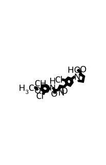 CC(C)Oc1ccc(NC(=O)c2cc(-c3ccc(CN4CCCC4C(=O)O)cc3Cl)on2)cc1Cl